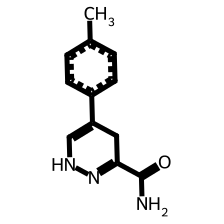 Cc1ccc(C2=CNN=C(C(N)=O)C2)cc1